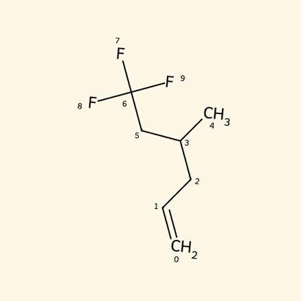 C=CCC(C)CC(F)(F)F